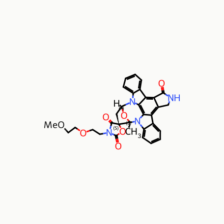 COCCOCCN1C(=O)O[C@]2(C[C@H]3O[C@]2(C)n2c4ccccc4c4c5c(c6c7ccccc7n3c6c42)C(=O)NC5)C1=O